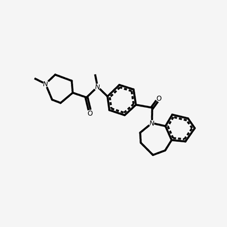 CN1CCC(C(=O)N(C)c2ccc(C(=O)N3CCCCc4ccccc43)cc2)CC1